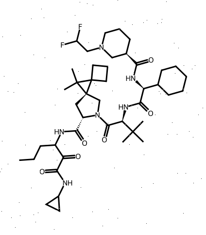 CCCC(NC(=O)[C@@H]1C[C@@]2(CN1C(=O)[C@@H](NC(=O)[C@@H](NC(=O)[C@@H]1CCCN(CC(F)F)C1)C1CCCCC1)C(C)(C)C)C(C)(C)C21CCC1)C(=O)C(=O)NC1CC1